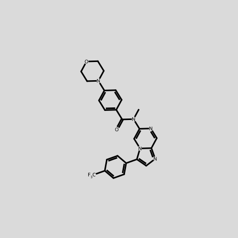 CN(C(=O)c1ccc(N2CCOCC2)cc1)c1cn2c(-c3ccc(C(F)(F)F)cc3)cnc2cn1